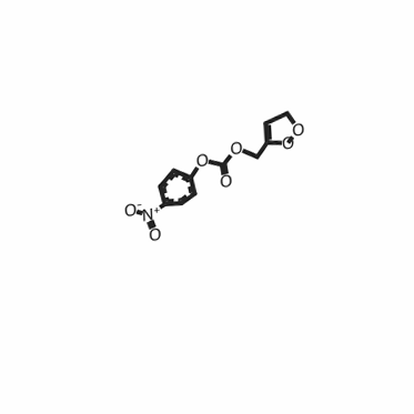 O=C(OCC1=CCOO1)Oc1ccc([N+](=O)[O-])cc1